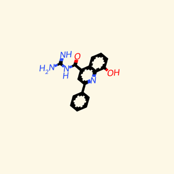 N=C(N)NC(=O)c1cc(-c2ccccc2)nc2c(O)cccc12